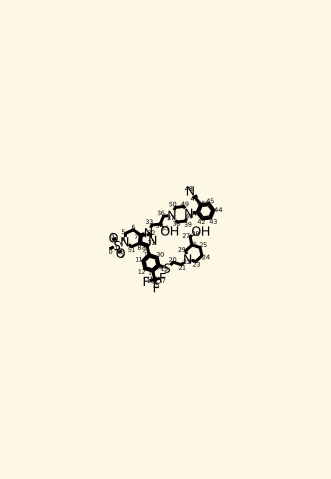 CS(=O)(=O)N1CCc2c(c(-c3ccc(C(F)(F)F)c(SCCN4CCCC(CO)C4)c3)nn2CC(O)CN2CCN(c3ccccc3C#N)CC2)C1